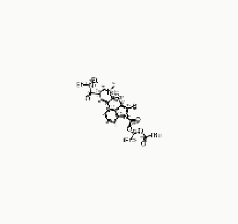 CCN(CC)C(=O)[C@@H]1C=C2c3cccc4c3c(c(Br)n4C(=O)OC(OC(=O)C(C)(C)C)C(C)C)C[C@H]2N(C)C1